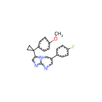 COc1ccc(C2(c3cnc4ncc(-c5ccc(F)cc5)cn34)CC2)cc1